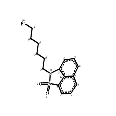 O=S1(=O)c2cccc3cccc(c23)N1CCCCCCBr